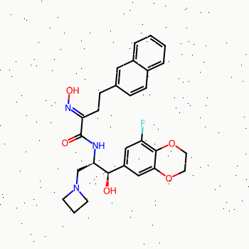 O=C(N[C@H](CN1CCC1)[C@H](O)c1cc(F)c2c(c1)OCCO2)/C(CCc1ccc2ccccc2c1)=N/O